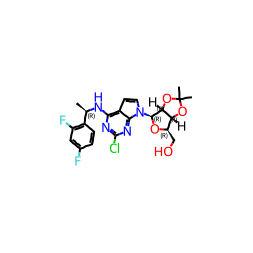 C[C@@H](Nc1nc(Cl)nc2c1ccn2[C@@H]1O[C@H](CO)[C@H]2OC(C)(C)O[C@H]21)c1ccc(F)cc1F